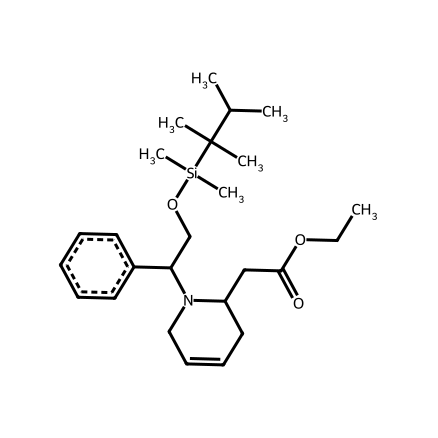 CCOC(=O)CC1CC=CCN1C(CO[Si](C)(C)C(C)(C)C(C)C)c1ccccc1